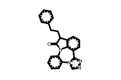 O=C1C(CCc2ccccc2)c2cccc3c2N1c1ccccc1-n1cnnc1-3